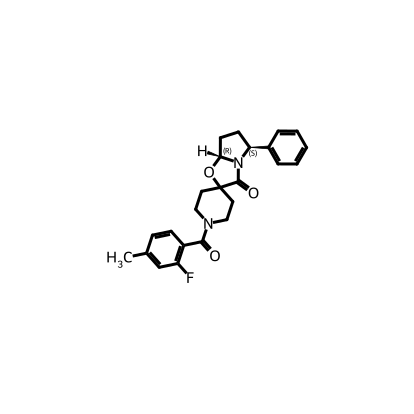 Cc1ccc(C(=O)N2CCC3(CC2)O[C@@H]2CC[C@@H](c4ccccc4)N2C3=O)c(F)c1